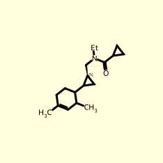 CCN(C[C@H]1CC1C1CCC(C)=CC1C)C(=O)C1CC1